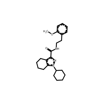 COc1ccccc1CCNC(=O)c1nn(C2CCCCC2)c2c1CCCC2